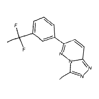 Cc1nnc2ccc(-c3cccc(C(C)(F)F)c3)nn12